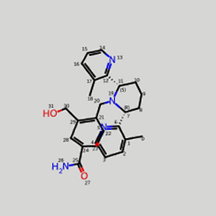 Cc1cccnc1[C@H]1CCC[C@@H](c2ncccc2C)N1Cc1ccc(C(N)=O)cc1CO